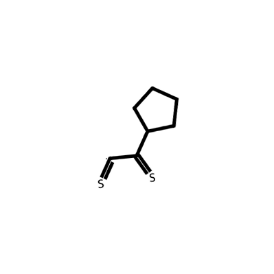 S=[C]C(=S)C1CCCC1